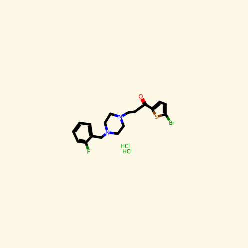 Cl.Cl.O=C(CCN1CCN(Cc2ccccc2F)CC1)c1ccc(Br)s1